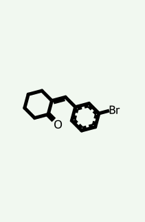 O=C1CCCCC1=Cc1cccc(Br)c1